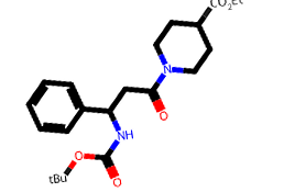 CCOC(=O)C1CCN(C(=O)CC(NC(=O)OC(C)(C)C)c2ccccc2)CC1